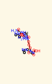 NC(=O)CC[C@H](NC(=O)[C@@H]1CC[C@@H]2CCN(C(=O)NCCOCCOCCOCCN(C(=O)[C@H]3CCCN(c4cncc5ccccc45)C3)c3ccc(=O)n(CC(=O)O)c3)C[C@H](N)C(=O)N21)C(=O)NC(c1ccccc1)c1ccccc1